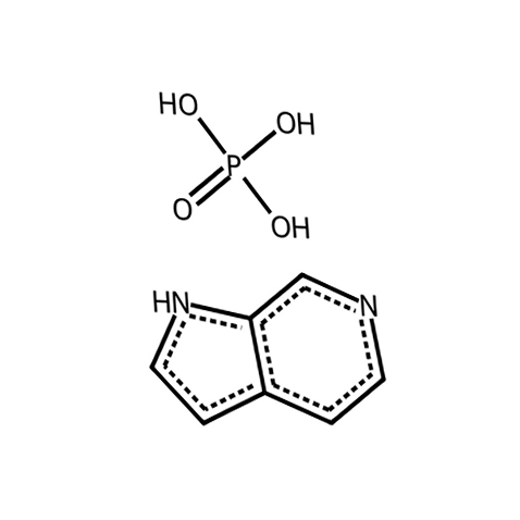 O=P(O)(O)O.c1cc2cc[nH]c2cn1